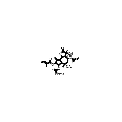 C/C=C(\C)C(=O)OC1C(C)=C2C3OC(=O)[C@](C)(O)[C@]3(O)[C@@H](OC(=O)CCC)C[C@](C)(OC(C)=O)C2[C@H]1OC(=O)CCCCC